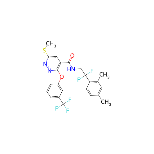 CSc1cc(C(=O)NCC(F)(F)c2ccc(C)cc2C)c(Oc2cccc(C(F)(F)F)c2)nn1